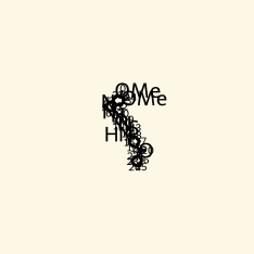 COc1cc2ncnc(N3CCN(C(=S)Nc4ccc(C(=O)c5ccccc5)cc4)CC3)c2cc1OC